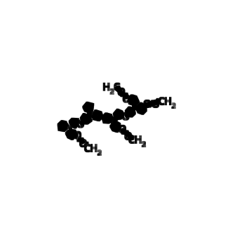 C=COCCOc1cccc(N(c2ccc(Oc3cccc(N(c4ccc(-c5ccc(N(c6ccccc6)c6ccc(Oc7cccc(N(c8ccccc8)c8cccc(OCCOC=C)c8)c7)cc6)cc5)cc4)c4cccc(OCCOC=C)c4)c3)cc2)c2cccc(OCCOC=C)c2)c1